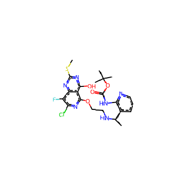 CSc1nc(O)c2c(OCCNC(C)c3cccnc3NC(=O)OC(C)(C)C)nc(Cl)c(F)c2n1